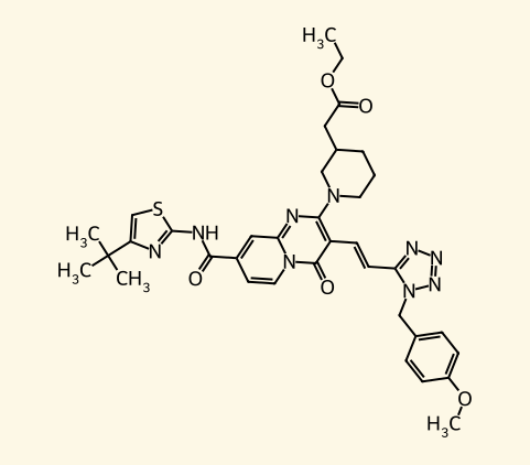 CCOC(=O)CC1CCCN(c2nc3cc(C(=O)Nc4nc(C(C)(C)C)cs4)ccn3c(=O)c2C=Cc2nnnn2Cc2ccc(OC)cc2)C1